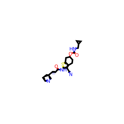 N#Cc1c(NC(=O)/C=C/c2cccnc2)sc2c1CCC(OC(=O)NCC1CC1)C2